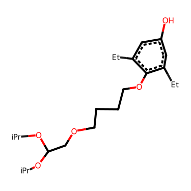 CCc1cc(O)cc(CC)c1OCCCCOCC(OC(C)C)OC(C)C